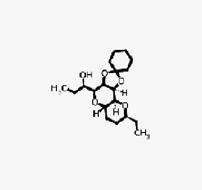 CC[C@H]1CC[C@@H]2O[C@@H]([C@H](O)CC)C3OC4(CCCCC4)O[C@H]3[C@H]2O1